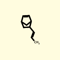 CC=CC1C[C]2C=CC1C2